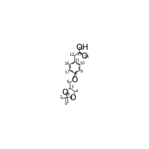 CC1(C)OCC(COc2ccc(CC(=O)O)cc2)O1